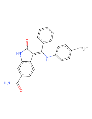 CCOC(=O)c1ccc(NC(=C2C(=O)Nc3cc(C(N)=O)ccc32)c2ccccc2)cc1